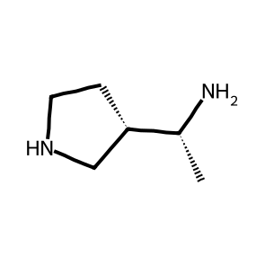 C[C@@H](N)[C@H]1CCNC1